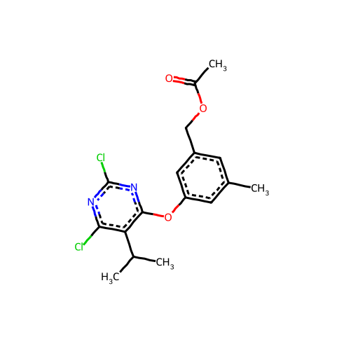 CC(=O)OCc1cc(C)cc(Oc2nc(Cl)nc(Cl)c2C(C)C)c1